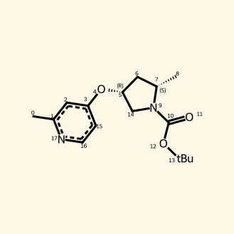 Cc1cc(O[C@@H]2C[C@H](C)N(C(=O)OC(C)(C)C)C2)ccn1